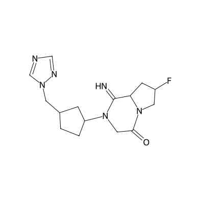 N=C1C2CC(F)CN2C(=O)CN1C1CCC(Cn2cncn2)C1